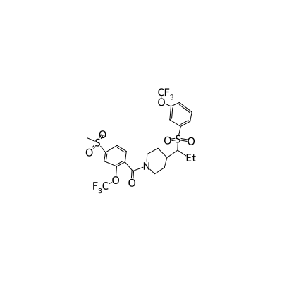 CCC(C1CCN(C(=O)c2ccc(S(C)(=O)=O)cc2OC(F)(F)F)CC1)S(=O)(=O)c1cccc(OC(F)(F)F)c1